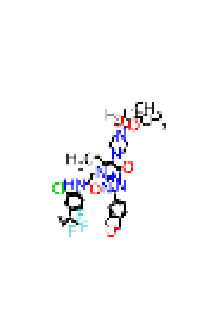 CCc1c(N2CCN(C(=O)OC(C)(C)C)CC2)c(=O)n2nc(-c3ccc4c(c3)COC4)nc2n1CC(=O)Nc1ccc(C2(C(F)(F)F)CC2)cc1Cl